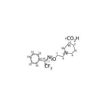 O=C(O)[C@@H]1CCCN(CCO/N=C(/c2ccccc2)C(F)(F)F)C1